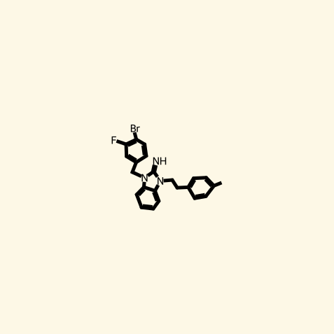 Cc1ccc(CCn2c(=N)n(Cc3ccc(Br)c(F)c3)c3ccccc32)cc1